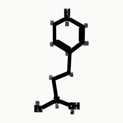 CCN(O)CCC1=CCNC=C1